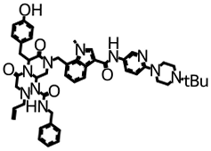 C=CCN1CC(=O)N2C(Cc3ccc(O)cc3)C(=O)N(Cc3cccc4c(C(=O)Nc5ccc(N6CCN(C(C)(C)C)CC6)nc5)cn(C)c34)CC2N1C(=O)NCc1ccccc1